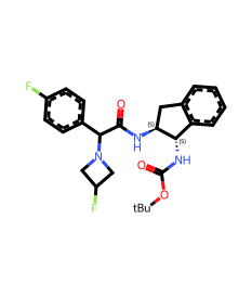 CC(C)(C)OC(=O)N[C@H]1c2ccccc2C[C@@H]1NC(=O)C(c1ccc(F)cc1)N1CC(F)C1